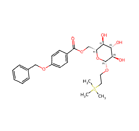 CS(C)(C)CCO[C@@H]1O[C@H](COC(=O)c2ccc(OCc3ccccc3)cc2)[C@@H](O)[C@H](O)[C@H]1O